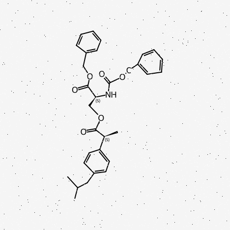 CC(C)Cc1ccc([C@H](C)C(=O)OC[C@H](NC(=O)OCc2ccccc2)C(=O)OCc2ccccc2)cc1